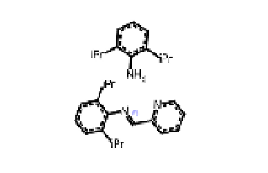 CC(C)c1cccc(C(C)C)c1/N=C/c1ccccn1.CC(C)c1cccc(C(C)C)c1N